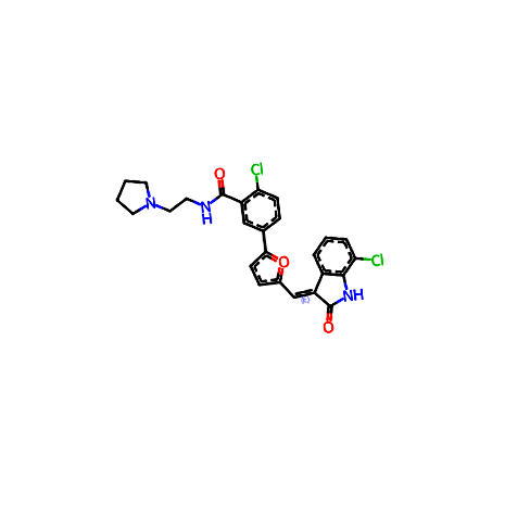 O=C1Nc2c(Cl)cccc2/C1=C\c1ccc(-c2ccc(Cl)c(C(=O)NCCN3CCCC3)c2)o1